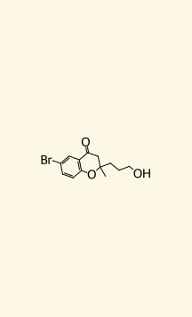 CC1(CCCO)CC(=O)c2cc(Br)ccc2O1